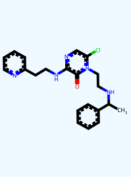 CC(NCCn1c(Cl)cnc(NCCc2ccccn2)c1=O)c1ccccc1